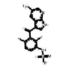 CCCS(=O)(=O)Nc1ccc(F)c(C(=O)c2c[nH]c3ncc(C(F)(F)F)cc23)c1F